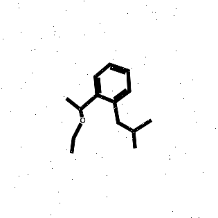 CCOC(C)c1ccccc1CC(C)C